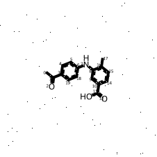 CC(=O)c1ccc(Nc2cc(C(=O)O)ccc2C)cc1